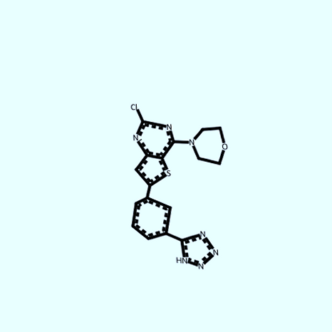 Clc1nc(N2CCOCC2)c2sc(-c3cccc(-c4nnn[nH]4)c3)cc2n1